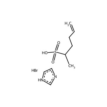 Br.C=CCCC(C)S(=O)(=O)O.c1c[nH]cn1